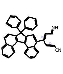 N#C/C=C/C(=C\C=N)c1cc2c(c3ccccc13)-c1c(ccc3ccccc13)C2(c1ccccc1)c1ccccc1